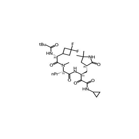 CCC[C@@H](C(=O)N[C@@H](C[C@@H]1CC(C)(C)NC1=O)C(=O)C(=O)NC1CC1)N(C)C(=O)[C@H](NC(=O)C(C)(C)C)C1CC(F)(F)C1